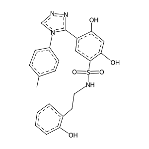 Cc1ccc(-n2cnnc2-c2cc(S(=O)(=O)NCCc3ccccc3O)c(O)cc2O)cc1